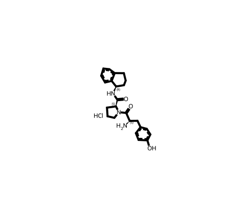 Cl.N[C@@H](Cc1ccc(O)cc1)C(=O)N1CCC[C@H]1C(=O)N[C@@H]1CCCc2ccccc21